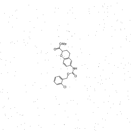 COC(=O)C1CCc2cc(NC(=O)OCc3ccccc3Cl)ccc2O1